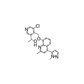 Cc1cc(-c2ccnn2C)c2cccc(OCc3c(Cl)cncc3C(C)O)c2n1